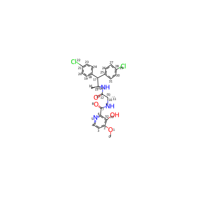 COc1ccnc(C(=O)N[C@@H](C)C(=O)N[C@@H](C)C(c2ccc(Cl)cc2)c2ccc(Cl)cc2)c1O